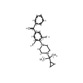 CC(C)(C1CC1)N1CCN(c2c(F)cc(C(=O)c3ccccc3)cc2F)CC1